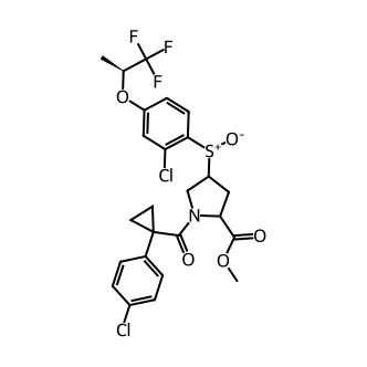 COC(=O)C1CC([S+]([O-])c2ccc(O[C@@H](C)C(F)(F)F)cc2Cl)CN1C(=O)C1(c2ccc(Cl)cc2)CC1